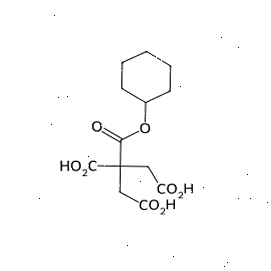 O=C(O)CC(CC(=O)O)(C(=O)O)C(=O)OC1CCCCC1